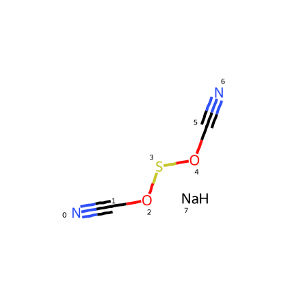 N#COSOC#N.[NaH]